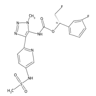 Cn1nnc(-c2ccc(NS(C)(=O)=O)cn2)c1NC(=O)O[C@H](CF)c1cccc(F)c1